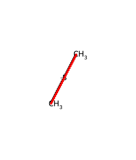 CCCCCCCCCCCCCCCCCCCCCCCCCCC[CH]SCCCCCCCCCCCCCCCCCCCCCCCCC